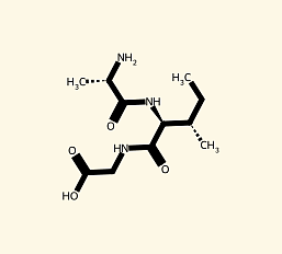 CC[C@H](C)[C@H](NC(=O)[C@H](C)N)C(=O)NCC(=O)O